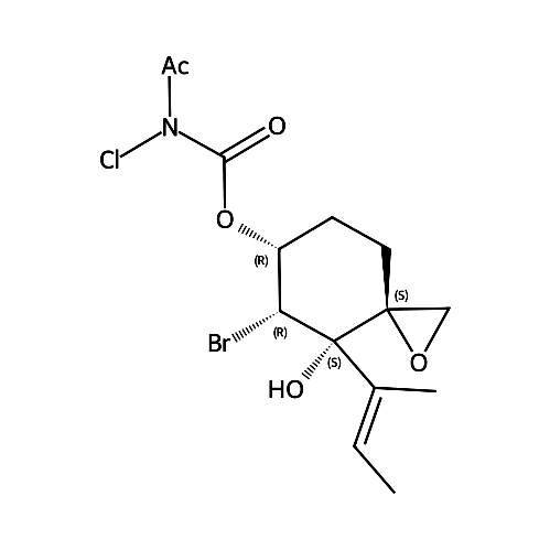 CC=C(C)[C@@]1(O)[C@H](Br)[C@H](OC(=O)N(Cl)C(C)=O)CC[C@]12CO2